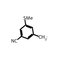 [CH2]c1cc(C#N)cc(SC)c1